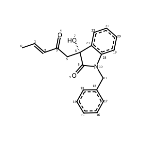 C/C=C/C(=O)C[C@]1(O)C(=O)N(Cc2ccccc2)c2ccccc21